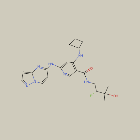 CC(C)(O)[C@H](F)CNC(=O)c1cnc(Nc2ccn3nccc3n2)cc1NC1CCC1